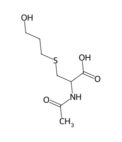 CC(=O)NC(CSCCCO)C(=O)O